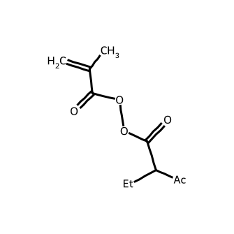 C=C(C)C(=O)OOC(=O)C(CC)C(C)=O